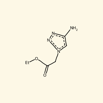 CCOC(=O)Cn1cc(N)nn1